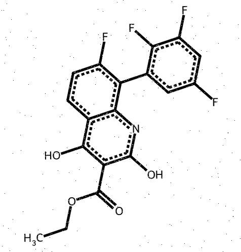 CCOC(=O)c1c(O)nc2c(-c3cc(F)cc(F)c3F)c(F)ccc2c1O